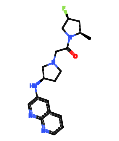 C[C@@H]1C[C@H](F)CN1C(=O)CN1CC[C@@H](Nc2cnc3ncccc3c2)C1